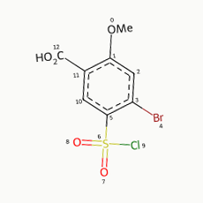 COc1cc(Br)c(S(=O)(=O)Cl)cc1C(=O)O